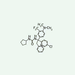 CN(C)c1ccc(C(Cc2ccccc2)(NC(=O)NC2CCCC2)c2ccc(Cl)cn2)cc1C(F)(F)F